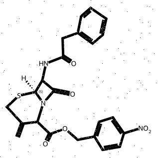 C=C1CS[C@H]2C(NC(=O)Cc3ccccc3)C(=O)N2C1C(=O)OCc1ccc([N+](=O)[O-])cc1